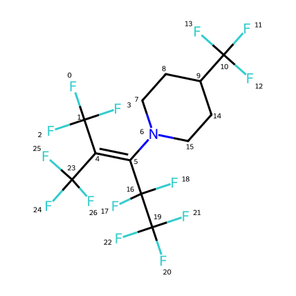 FC(F)(F)C(=C(N1CCC(C(F)(F)F)CC1)C(F)(F)C(F)(F)F)C(F)(F)F